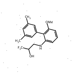 COc1cccc(NCC(O)C(F)(F)F)c1-c1cc(C)cc(C)c1